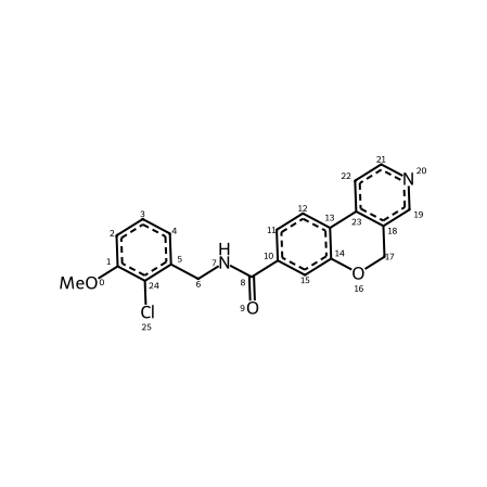 COc1cccc(CNC(=O)c2ccc3c(c2)OCc2cnccc2-3)c1Cl